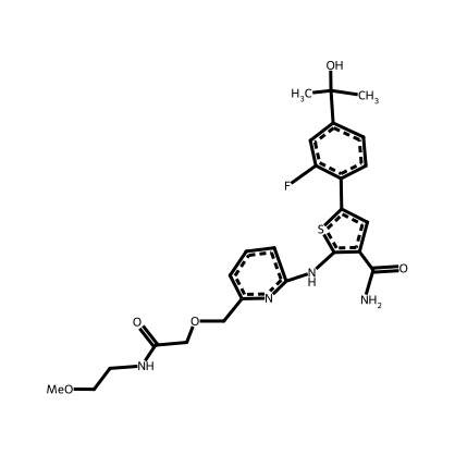 COCCNC(=O)COCc1cccc(Nc2sc(-c3ccc(C(C)(C)O)cc3F)cc2C(N)=O)n1